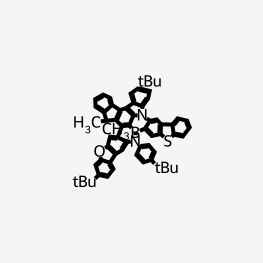 CC(C)(C)c1ccc(N2B3c4cc5sc6ccccc6c5cc4-n4c5ccc(C(C)(C)C)cc5c5c6c(c(c3c54)-c3cc4oc5cc(C(C)(C)C)ccc5c4cc32)C(C)(C)c2ccccc2-6)cc1